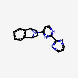 c1cnc(-c2nccc(N3C4CCC3c3ccccc34)n2)nc1